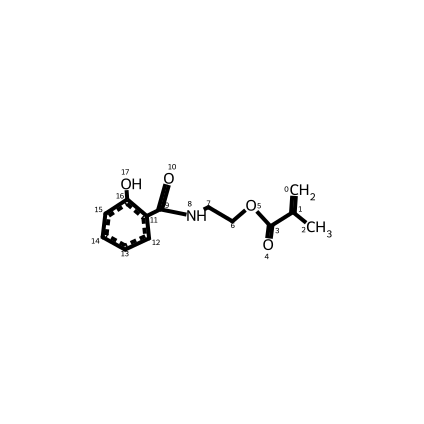 C=C(C)C(=O)OCCNC(=O)c1ccccc1O